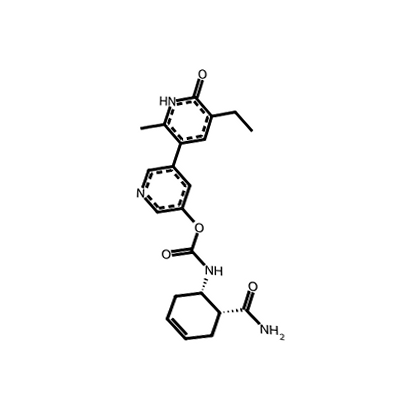 CCc1cc(-c2cncc(OC(=O)N[C@H]3CC=CC[C@H]3C(N)=O)c2)c(C)[nH]c1=O